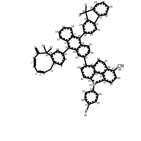 C=C1/C=C\C=C/Cc2ccc(-c3c4ccccc4c(-c4ccc5c(c4)C(C)(C)c4ccccc4-5)c4ccc(-c5ccc6c7c5ccc5c(C#N)ccc(c57)n6-c5ccc(F)cc5)cc34)cc2C1(C)C